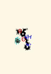 C=Cc1cc(NC(=O)CCC[n+]2ccccc2)ccc1OC(C)C.F[P-](F)(F)(F)(F)F